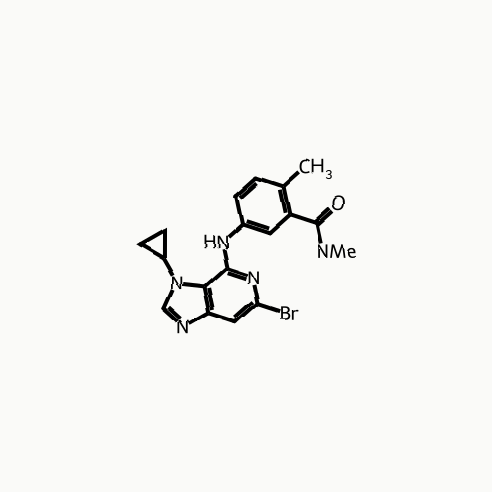 CNC(=O)c1cc(Nc2nc(Br)cc3ncn(C4CC4)c23)ccc1C